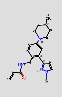 C=CC(=O)NCc1ccc(N2CCC(C(F)(F)F)CC2)cc1-c1ccn(C)n1